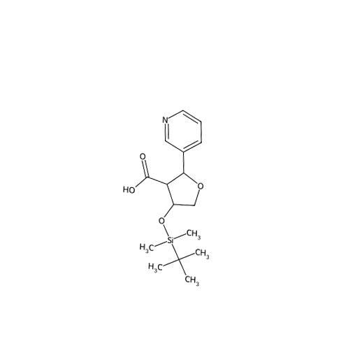 CC(C)(C)[Si](C)(C)OC1COC(c2cccnc2)C1C(=O)O